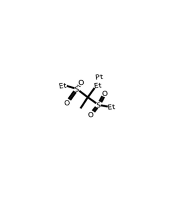 CCC(C)(S(=O)(=O)CC)S(=O)(=O)CC.[Pt]